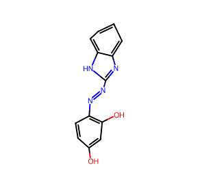 Oc1ccc(/N=N/c2nc3ccccc3[nH]2)c(O)c1